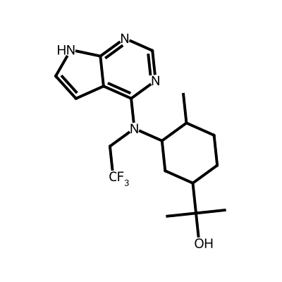 CC1CCC(C(C)(C)O)CC1N(CC(F)(F)F)c1ncnc2[nH]ccc12